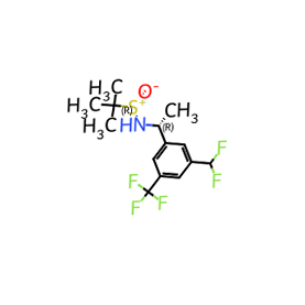 C[C@@H](N[S@@+]([O-])C(C)(C)C)c1cc(C(F)F)cc(C(F)(F)F)c1